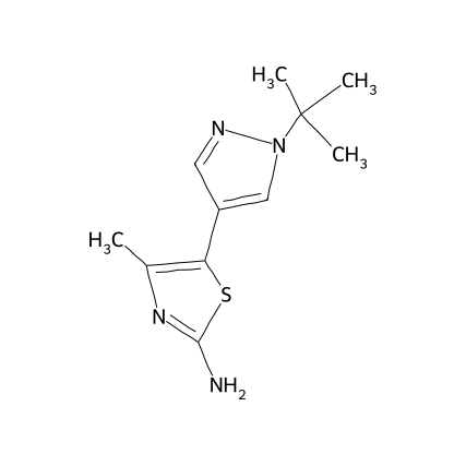 Cc1nc(N)sc1-c1cnn(C(C)(C)C)c1